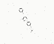 O=C(CO)NCc1ccc(-n2ccc(OCc3ccccc3)c(Br)c2=O)cc1